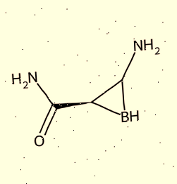 NC(=O)[C@@H]1BC1N